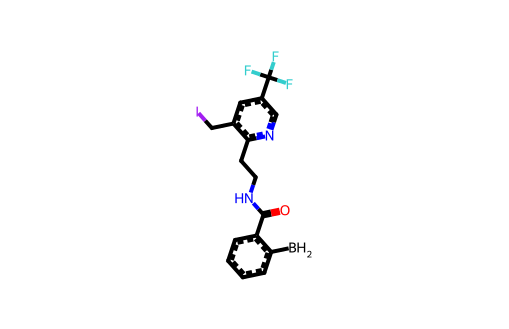 Bc1ccccc1C(=O)NCCc1ncc(C(F)(F)F)cc1CI